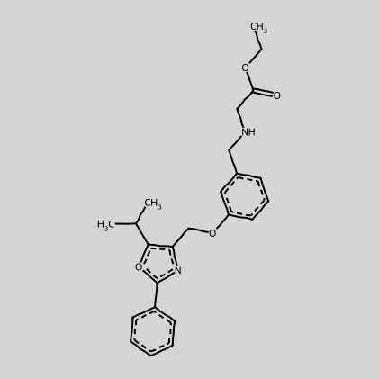 CCOC(=O)CNCc1cccc(OCc2nc(-c3ccccc3)oc2C(C)C)c1